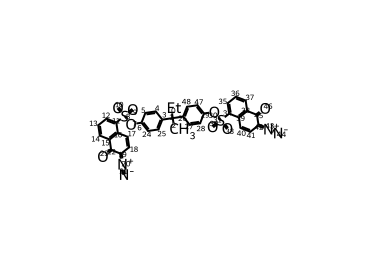 CCC(C)(c1ccc(OS(=O)(=O)c2cccc3c2C=CC(=[N+]=[N-])C3=O)cc1)c1ccc(OS(=O)(=O)c2cccc3c2C=CC(=[N+]=[N-])C3=O)cc1